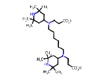 CC1(C)CC(N(CCCCCCN(CCC(=O)O)C2CC(C)(C)NC(C)(C)C2)CCC(=O)O)CC(C)(C)N1